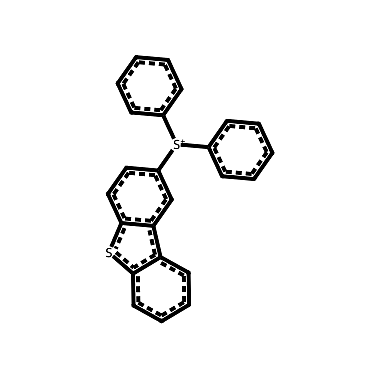 c1ccc([S+](c2ccccc2)c2ccc3sc4ccccc4c3c2)cc1